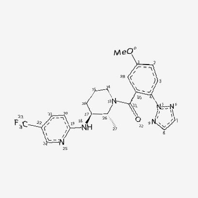 COc1ccc(-n2nccn2)c(C(=O)N2CCC[C@H](Nc3ccc(C(F)(F)F)cn3)[C@H]2C)c1